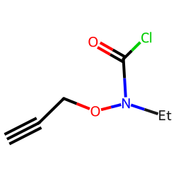 C#CCON(CC)C(=O)Cl